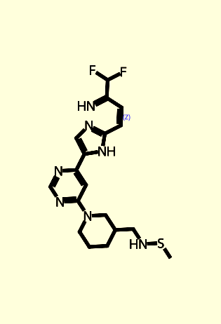 CSNCC1CCCN(c2cc(-c3cnc(/C=C\C(=N)C(F)F)[nH]3)ncn2)C1